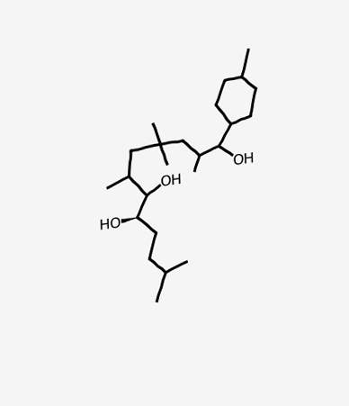 CC(C)CC[C@@H](O)C(O)C(C)CC(C)(C)CC(C)C(O)C1CCC(C)CC1